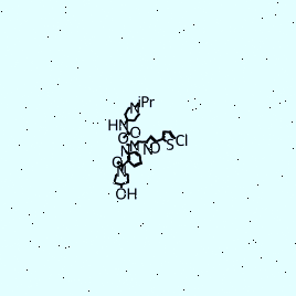 CC(C)N1CCC(NC(=O)Oc2nc3c(C(=O)N4CCC(O)CC4)cccc3n2Cc2cc(-c3ccc(Cl)s3)on2)CC1